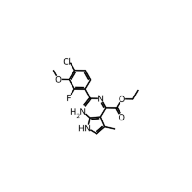 C=C(/N=C(/C(=O)OCC)c1c(C)c[nH]c1N)c1ccc(Cl)c(OC)c1F